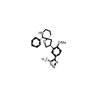 COc1ccc(-c2nnnn2C)cc1[C@H]1CO[C@]2(CCCN[C@H]2c2ccccc2)C1